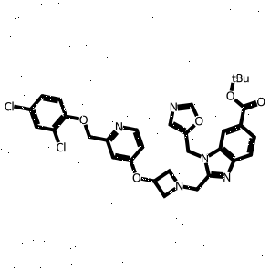 CC(C)(C)OC(=O)c1ccc2nc(CN3CC(Oc4ccnc(COc5ccc(Cl)cc5Cl)c4)C3)n(Cc3cnco3)c2c1